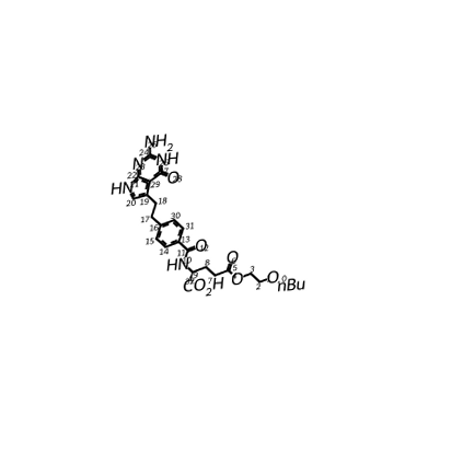 CCCCOCCOC(=O)CC[C@H](NC(=O)c1ccc(CCc2c[nH]c3nc(N)[nH]c(=O)c23)cc1)C(=O)O